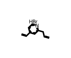 Br.C=CCc1cc(C=C)ccn1